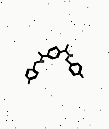 Cc1ccc(CNC(C)c2ccc(C(C)NCc3ccc(C)cc3)cc2)cc1